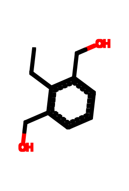 CCc1c(CO)cccc1CO